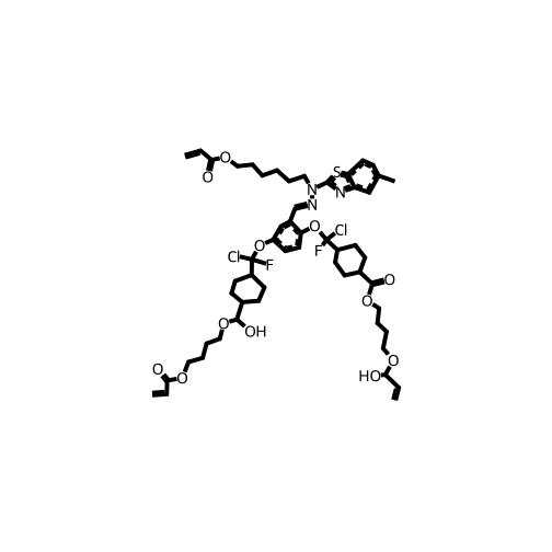 C=CC(=O)OCCCCCCN(/N=C/c1cc(OC(F)(Cl)C2CCC(C(O)OCCCCOC(=O)C=C)CC2)ccc1OC(F)(Cl)C1CCC(C(=O)OCCCCOC(O)C=C)CC1)c1nc2cc(C)ccc2s1